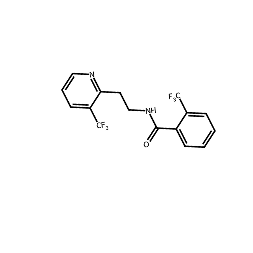 O=C(NCCc1ncccc1C(F)(F)F)c1ccccc1C(F)(F)F